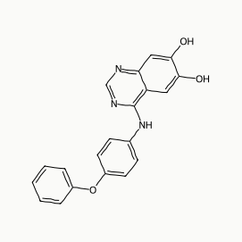 Oc1cc2ncnc(Nc3ccc(Oc4ccccc4)cc3)c2cc1O